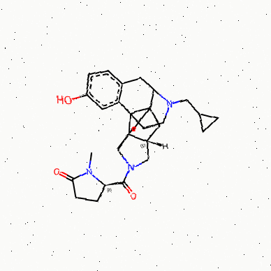 CN1C(=O)CC[C@@H]1C(=O)N1C[C@H]2CC34CCC1C2C31CCN(CC2CC2)C4Cc2ccc(O)cc21